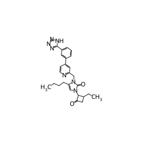 CCCCc1cn(C2C(=O)CC2CC)c(=O)n1Cc1cc(-c2cccc(-c3nnn[nH]3)c2)ccn1